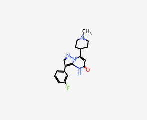 CN1CCC(c2cc(=O)[nH]c3c(-c4cccc(F)c4)cnn23)CC1